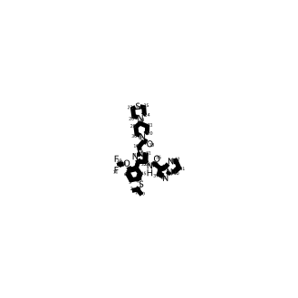 CC(C)Sc1ccc(OC(F)F)c(-c2nn(CC(=O)N3CCC(N4CCSCC4)CC3)cc2NC(=O)c2cnn3cccnc23)c1